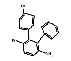 Nc1ccc(Br)c(-c2ccc(O)cc2)c1-c1ccccc1